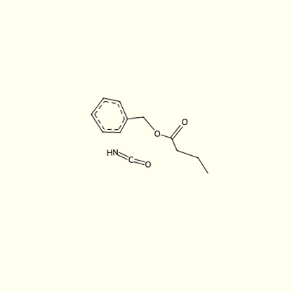 CCCC(=O)OCc1ccccc1.N=C=O